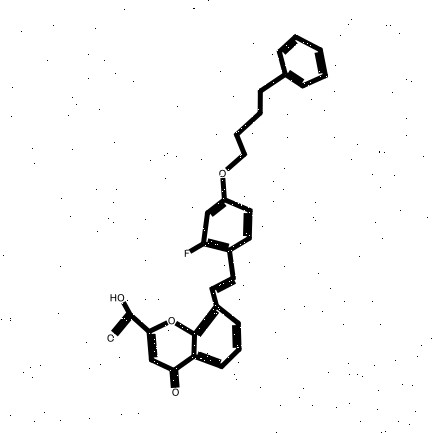 O=C(O)c1cc(=O)c2cccc(C=Cc3ccc(OCCCCc4ccccc4)cc3F)c2o1